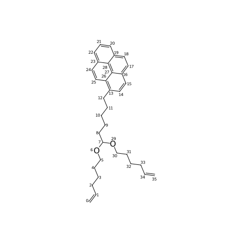 C=CCCCCOC(CCCCCc1ccc2ccc3cccc4ccc1c2c34)OCCCCC=C